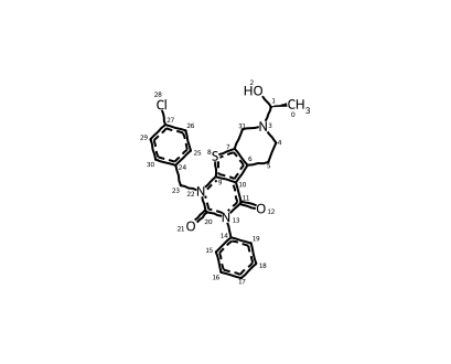 C[C@H](O)N1CCc2c(sc3c2c(=O)n(-c2ccccc2)c(=O)n3Cc2ccc(Cl)cc2)C1